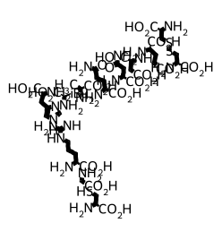 CC[C@H](C)[C@H](N)C(=O)O.C[C@H](N)C(=O)O.N=C(N)NCCC[C@H](N)C(=O)O.NC(=O)CC[C@H](N)C(=O)O.NC(=O)C[C@H](N)C(=O)O.NCC(=O)O.N[C@@H](CC(=O)O)C(=O)O.N[C@@H](CCC(=O)O)C(=O)O.N[C@@H](CS)C(=O)O.N[C@@H](CSSC[C@H](N)C(=O)O)C(=O)O.N[C@@H](Cc1c[nH]cn1)C(=O)O